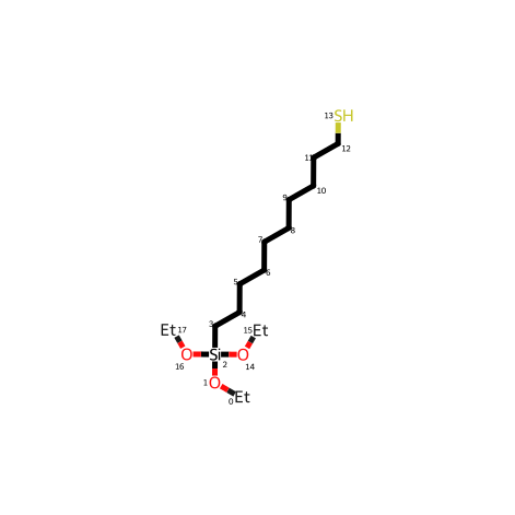 CCO[Si](CCCCCCCCCCS)(OCC)OCC